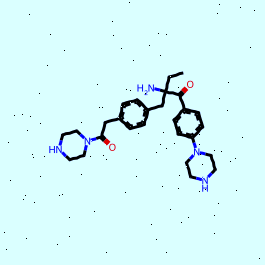 CCC(N)(Cc1ccc(CC(=O)N2CCNCC2)cc1)C(=O)c1ccc(N2CCNCC2)cc1